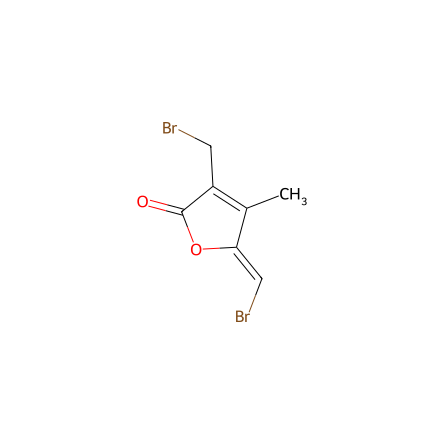 CC1=C(CBr)C(=O)O/C1=C\Br